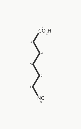 [C-]#[N+]CCCCCC(=O)O